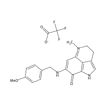 COc1ccc(CNC2=CC3=[N+](C)CCc4c[nH]c(c43)C2=O)cc1.O=C([O-])C(F)(F)F